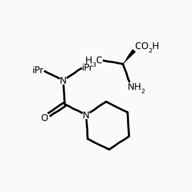 CC(C)N(C(=O)N1CCCCC1)C(C)C.C[C@H](N)C(=O)O